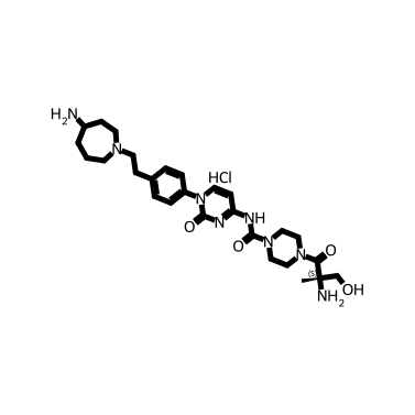 C[C@](N)(CO)C(=O)N1CCN(C(=O)Nc2ccn(-c3ccc(CCN4CCCC(N)CC4)cc3)c(=O)n2)CC1.Cl